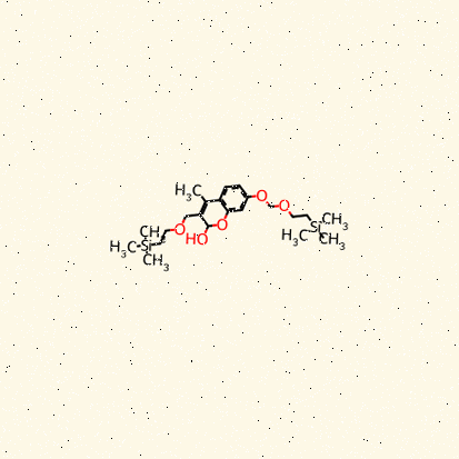 CC1=C(COCC[Si](C)(C)C)C(O)Oc2cc(OCOCC[Si](C)(C)C)ccc21